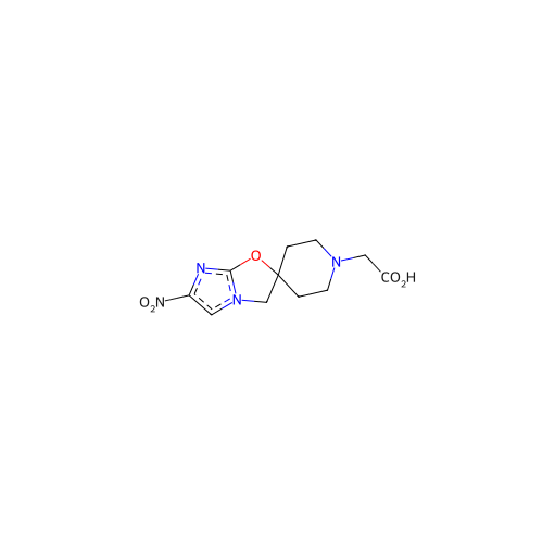 O=C(O)CN1CCC2(CC1)Cn1cc([N+](=O)[O-])nc1O2